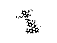 CCOC(=O)C(COC(=O)Cc1ccc(NC(=O)c2ccccc2-c2ccc(C(F)(F)F)cc2)c(N(CC)CC)c1)(C(=O)OCC)c1ccccc1